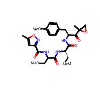 COCC(NC(=O)c1cc(C)on1)C(=O)N[C@@H](COC)C(=O)NC(Cc1ccc(OC)cc1)C(=O)C1(C)CO1